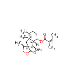 C=C1COC(=O)[C@]12C[C@@]1(C)[C@H](C(OC(=O)/C(C)=C\C)CC[C@@H]1C)[C@H]2OC(C)=O